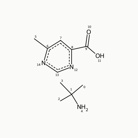 CC(C)(C)N.Cc1cc(C(=O)O)ncn1